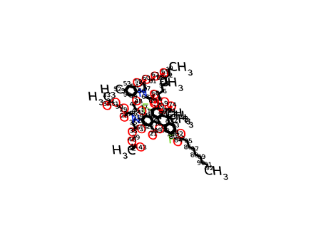 CCCCCCCCC(=O)Oc1cc2c(cc1F)C1(OC(=O)c3cc(N(CC(=O)OCOC(C)=O)CC(=O)OCOC(C)=O)c(OCCOc4cc(C)ccc4N(CC(=O)OCOC(C)=O)CC(=O)OCOC(C)=O)cc31)c1cc(F)c(OC(=O)CCCCCCCC)cc1C2(C)C